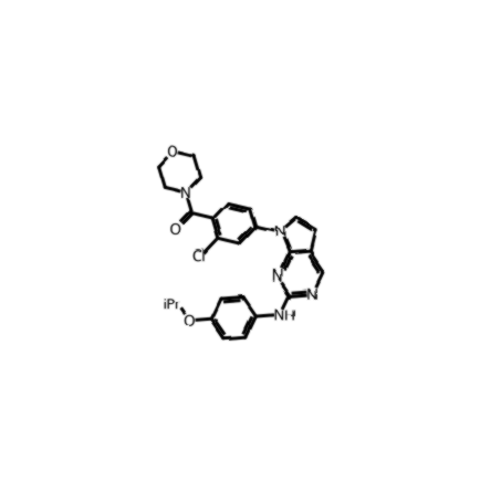 CC(C)Oc1ccc(Nc2ncc3ccn(-c4ccc(C(=O)N5CCOCC5)c(Cl)c4)c3n2)cc1